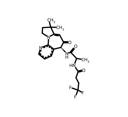 CC(NC(=O)CCC(F)(F)F)C(=O)N[C@@H]1C(=O)C=C2N(CCC2(C)C)c2ncccc21